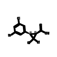 O=C(O)[C@@H]1[C@@H](c2cc(Cl)cc(Br)c2)C1(Cl)Cl